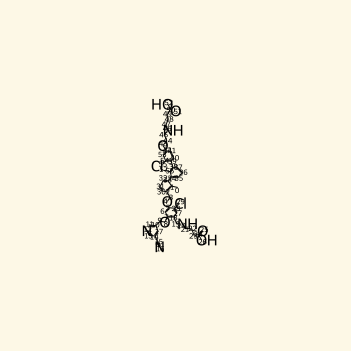 Cc1c(COc2cc(OCc3cncc(C#N)c3)c(CNCCCC(=O)O)cc2Cl)cccc1-c1cccc(-c2ccc(OCCNCCCC(=O)O)cc2Cl)c1C